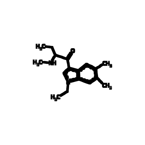 CCC(NC)C(=O)c1cn(CC)c2cc(C)c(C)cc12